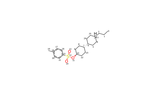 CCC[SiH]1CCC([C@H]2CC[C@H](OS(=O)(=O)c3ccc(C)cc3)CC2)CC1